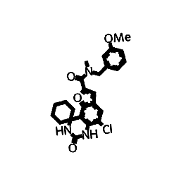 COc1cccc(CN(C)C(=O)c2cc3cc(Cl)c4c(c3o2)C2(CCCCC2)NC(=O)N4)c1